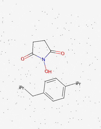 CC(C)Cc1ccc(C(C)C)cc1.O=C1CCC(=O)N1O